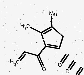 C=CC(=O)C1=CC[C]([Mn])=C1C.[C]=O.[C]=O.[C]=O